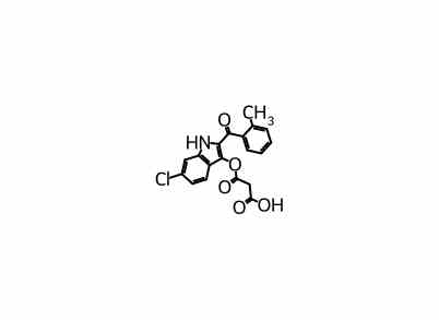 Cc1ccccc1C(=O)c1[nH]c2cc(Cl)ccc2c1OC(=O)CC(=O)O